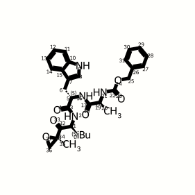 CC[C@H](C)C(NC(=O)[C@H](Cc1c[nH]c2ccccc12)NC(=O)[C@H](C)NC(=O)OCc1ccccc1)C(=O)[C@@]1(C)CO1